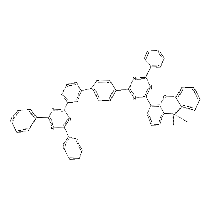 CC1(C)c2ccccc2Oc2c(-c3nc(-c4ccccc4)nc(-c4ccc(-c5cccc(-c6nc(-c7ccccc7)nc(-c7ccccc7)n6)c5)cc4)n3)cccc21